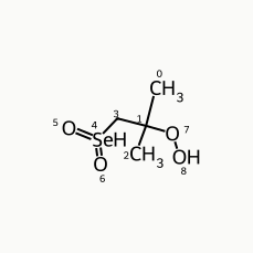 CC(C)(C[SeH](=O)=O)OO